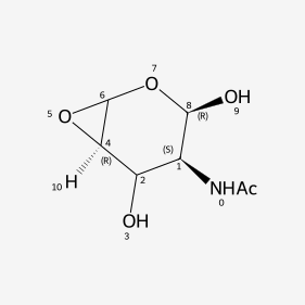 CC(=O)N[C@H]1C(O)[C@H]2OC2O[C@H]1O